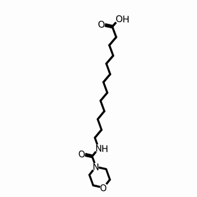 O=C(O)CCCCCCCCCCCCNC(=O)N1CCOCC1